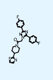 O=C(Cn1nc(-c2ccc(F)cc2)nc1-c1ccc(F)cc1)N1CCC(c2nccs2)CC1